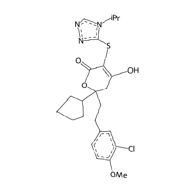 COc1ccc(CCC2(C3CCCC3)CC(O)=C(Sc3nncn3C(C)C)C(=O)O2)cc1Cl